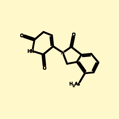 O=C1CC=C(N2Cc3c([AsH2])cccc3C2=O)C(=O)N1